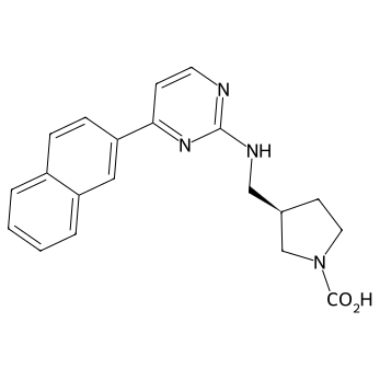 O=C(O)N1CC[C@H](CNc2nccc(-c3ccc4ccccc4c3)n2)C1